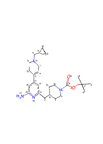 CC(C)(C)OC(=O)N1CCC(Cc2cc(C3=CCN(CC4CC4)CC3)cc(N)n2)CC1